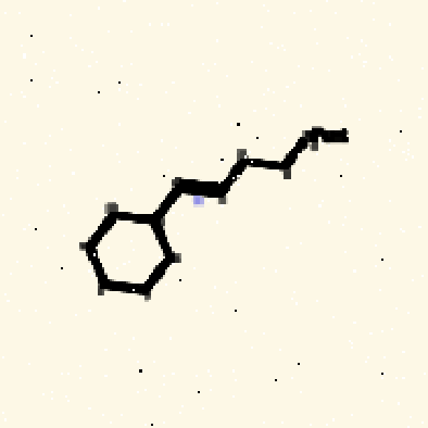 CCCCCCC/C=C/C1CCCCC1